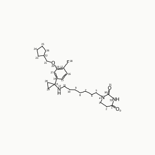 O=C1CCN(CCCCCCCNC2(c3ccc(F)c(OCC4CCCC4)c3)CC2)C(=O)N1